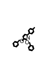 Cc1ccc(-c2ccc(OCc3ccccc3)c(OCc3ccccc3)n2)cc1